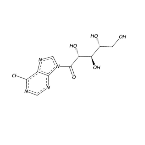 O=C([C@H](O)[C@H](O)[C@H](O)CO)n1cnc2c(Cl)ncnc21